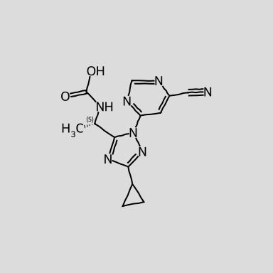 C[C@H](NC(=O)O)c1nc(C2CC2)nn1-c1cc(C#N)ncn1